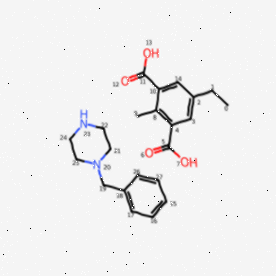 CCc1cc(C(=O)O)c(C)c(C(=O)O)c1.c1ccc(CN2CCNCC2)cc1